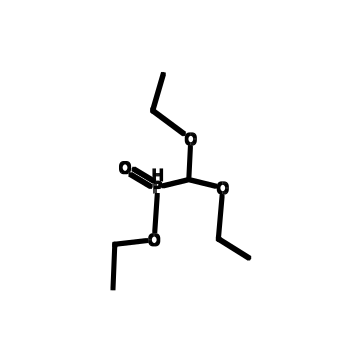 CCOC(OCC)[PH](=O)OCC